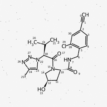 C#Cc1ccc(CNC(=O)[C@@H]2C[C@@H](O)CN2C(=O)[C@H](C(C)C)n2cc(I)nn2)c(Cl)c1